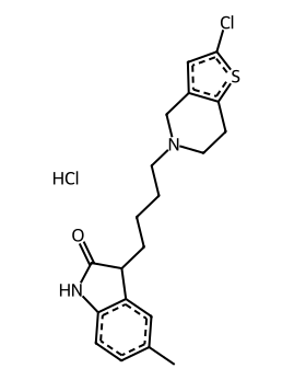 Cc1ccc2c(c1)C(CCCCN1CCc3sc(Cl)cc3C1)C(=O)N2.Cl